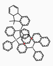 CC1(C)c2c(cccc2N(c2ccccc2)c2ccccc2[Si](c2ccccc2)(c2ccccc2)c2cccc(N(c3ccccc3)c3cccc4ccccc34)c2)C2C=CC=CC21